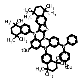 CC(C)(C)c1ccc(N(c2ccccc2)c2ccc3c(c2)N(c2ccc4c(c2)C(C)(C)CCC4(C)C)c2cc(C(C)(C)C)cc4c2B3c2sc3cc5c(cc3c2N4c2ccc3c(c2)C(C)(C)CCC3(C)C)C(C)(C)CCC5(C)C)cc1